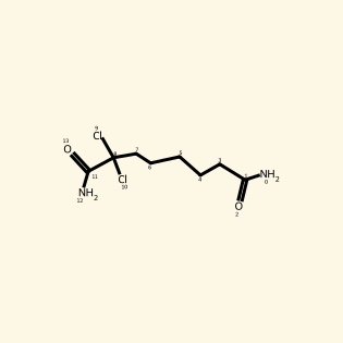 NC(=O)CCCCCC(Cl)(Cl)C(N)=O